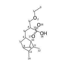 CCOCC(CC1CC2CC1C(C)C2C)S(=O)(=O)O